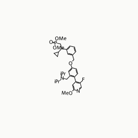 COc1cc(-c2ccc(OCc3cccc(C(CP(=O)(OC)OC)C4CC4)c3)cc2CN(C(C)C)C(C)C)c(F)cn1